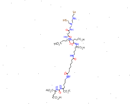 O=C(O)CCC(NC(=O)CCC(=O)NCCN(CCS)CCNCCS)C(=O)NC(CCC(=O)O)C(=O)N[C@H](CCCCNC(=O)CCCCCCC(=O)NCCCC[C@H](NC(=O)N[C@@H](CCC(=O)O)C(=O)O)C(=O)O)C(=O)O